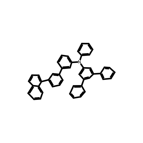 c1ccc(-c2cc(-c3ccccc3)cc(N(c3ccccc3)c3cccc(-c4cccc(-c5cccc6ccccc56)c4)c3)c2)cc1